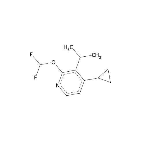 CC(C)c1c(C2CC2)ccnc1OC(F)F